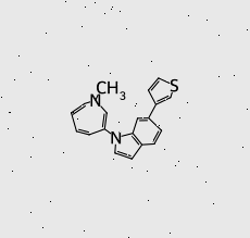 CN1C=CC=CC(n2ccc3ccc(-c4ccsc4)cc32)=C1